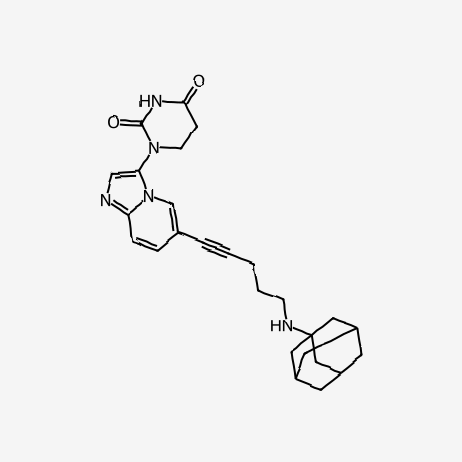 O=C1CCN(c2cnc3ccc(C#CCCCNC45CC6CC(CC(C6)C4)C5)cn23)C(=O)N1